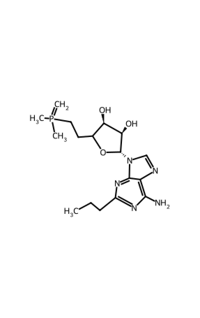 C=P(C)(C)CCC1O[C@@H](n2cnc3c(N)nc(CCC)nc32)[C@H](O)[C@@H]1O